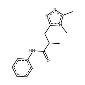 Cc1nnc(C[C@@H](C)C(=O)Nc2ccccc2)n1C